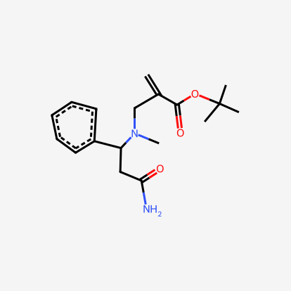 C=C(CN(C)C(CC(N)=O)c1ccccc1)C(=O)OC(C)(C)C